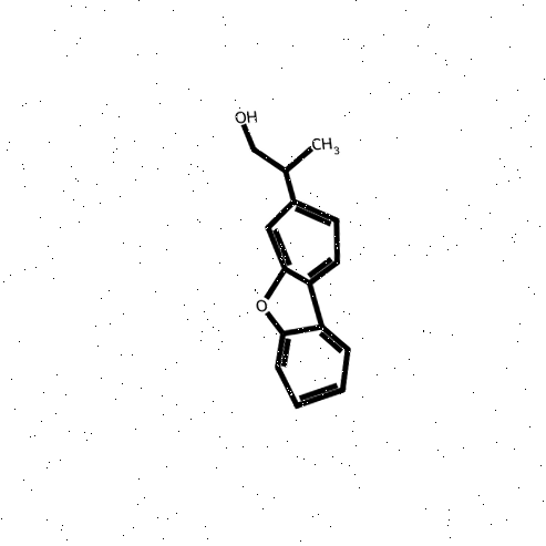 CC(CO)c1ccc2c(c1)oc1ccccc12